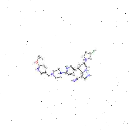 COc1ccc(CN2CCN(c3ccc(-c4cc(N5CCC(F)C5)cn5ncc(C#N)c45)cn3)CC2)cn1